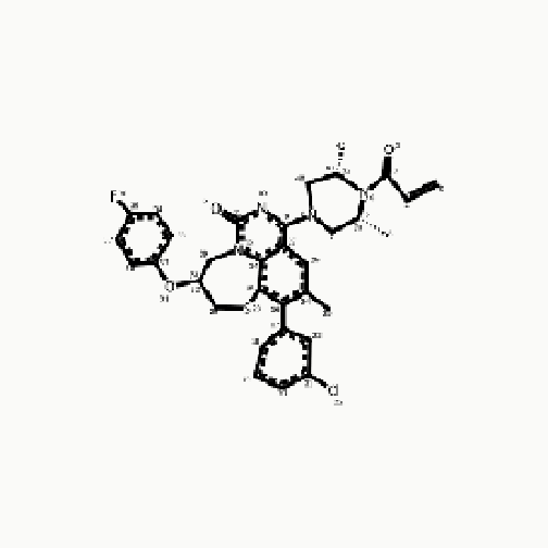 C=CC(=O)N1[C@H](C)CN(c2nc(=O)n3c4c(c(-c5cccc(Cl)c5)c(C)cc24)SC[C@@H](Oc2ccc(F)cc2)C3)C[C@@H]1C